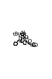 Cn1nc(C(C)(C)C)c2nc(N(CC3CCCCC3)CC3CCN(C(=O)CN4CCOCC4)CC3)[nH]c(=O)c21